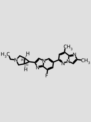 CCN1C[C@@H]2C(c3cn4cc(-c5cc(C)c6nc(C)cn6n5)cc(F)c4n3)[C@@H]2C1